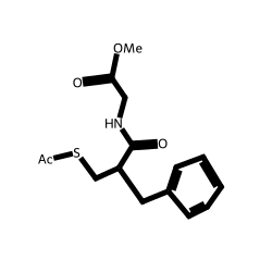 COC(=O)CNC(=O)C(CSC(C)=O)Cc1ccccc1